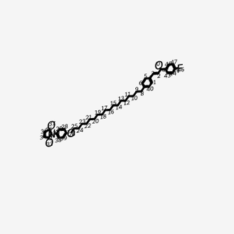 O=C(C=Cc1ccc(CCCCCCCCCCCCCCCCCCOc2ccc(N3C(=O)C=CC3=O)cc2)cc1)c1ccc(F)cc1